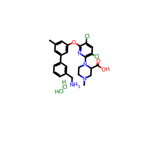 Cc1cc(Oc2nc(N3CCN(C)CC3C(=O)O)c(Cl)cc2Cl)cc(-c2cccc(CN)c2)c1.Cl.Cl